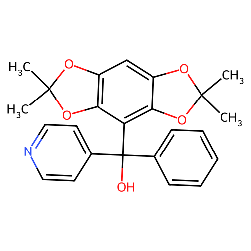 CC1(C)Oc2cc3c(c(C(O)(c4ccccc4)c4ccncc4)c2O1)OC(C)(C)O3